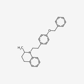 CC1CCc2ccccc2N1CCc1ccc(OCc2ccccc2)cc1